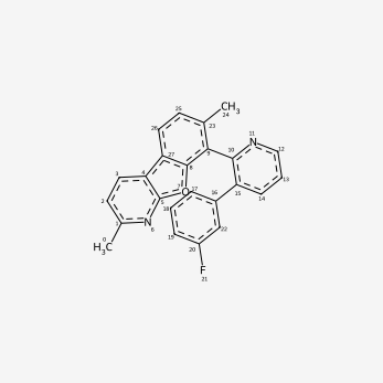 Cc1ccc2c(n1)oc1c(-c3ncccc3-c3cccc(F)c3)c(C)ccc12